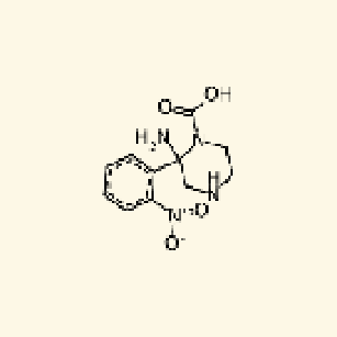 NC1(c2ccccc2[N+](=O)[O-])CNCCN1C(=O)O